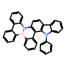 c1ccc(-n2c3ccccc3c3ccc4c(c32)-c2ccccc2B2c3ccccc3-c3ccccc3N24)cc1